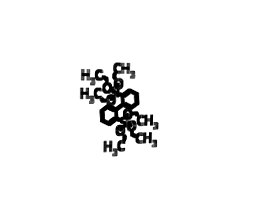 CCO[Si](OCC)(OCC)c1ccccc1-c1ccccc1[Si](OCC)(OCC)OCC